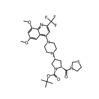 COc1cc(OC)c2nc(C(F)(F)F)cc(N3CCN([C@H]4C[C@@H](C(=O)N5CCSC5)N(C(=O)OC(C)(C)C)C4)CC3)c2c1